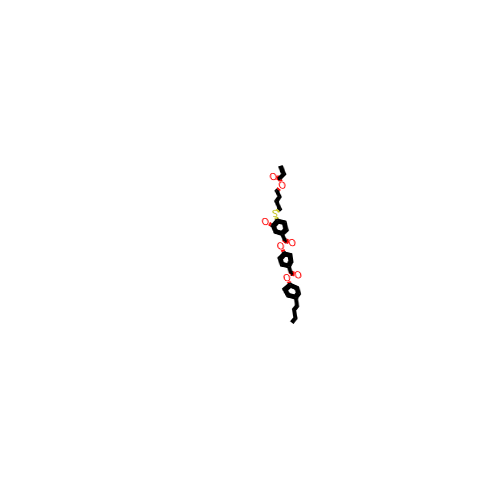 C=CC(=O)OCCCCSc1ccc(C(=O)Oc2ccc(C(=O)Oc3ccc(CCCC)cc3)cc2)cc1OC